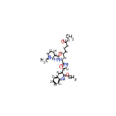 CCC(=O)CCCCC[C@H](NC(=O)C1CCCN(C)C1)c1ncc(-c2cc3ccccc3nc2OC)o1